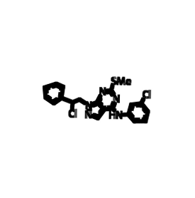 CSc1nc(Nc2cccc(Cl)c2)c2cnn(CC(Cl)c3ccccc3)c2n1